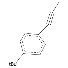 CC#Cc1ccc(C(C)(C)C)cc1